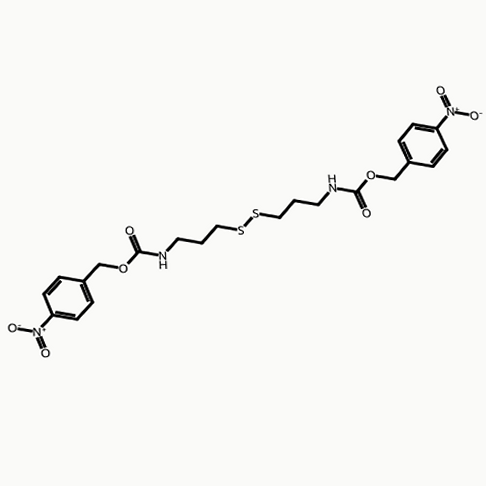 O=C(NCCCSSCCCNC(=O)OCc1ccc([N+](=O)[O-])cc1)OCc1ccc([N+](=O)[O-])cc1